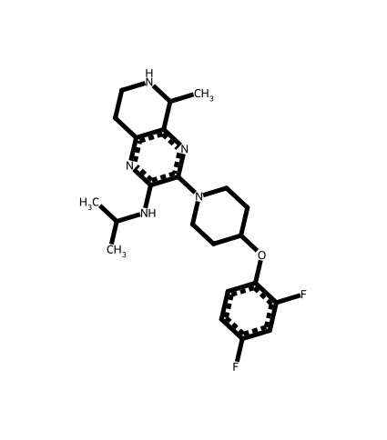 CC(C)Nc1nc2c(nc1N1CCC(Oc3ccc(F)cc3F)CC1)C(C)NCC2